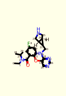 CCN(C(=O)c1cc(F)ccc1Oc1cncnc1NCC1[C@H]2CNC[C@@H]12)C(C)C